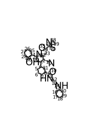 N#Cc1c(-c2cccc(C(=O)NCCNc3ccccc3)c2)cc(-c2ccccc2O)nc1CC(=O)c1nccs1